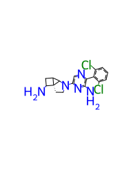 Nc1nc(N2CC[C@@]34C(C[C@@H]3N)C24)cnc1-c1c(Cl)cccc1Cl